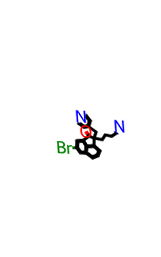 N#CCCCC1(Cc2ccncc2)C(=O)c2cc(Br)cc3cccc1c23